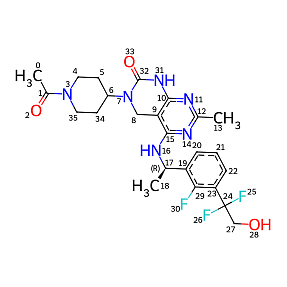 CC(=O)N1CCC(N2Cc3c(nc(C)nc3N[C@H](C)c3cccc(C(F)(F)CO)c3F)NC2=O)CC1